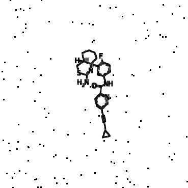 NC1=N[C@@]2(c3cc(NC(=O)c4ccc(C#CC5CC5)cn4)ccc3F)CCCC[C@H]2CS1